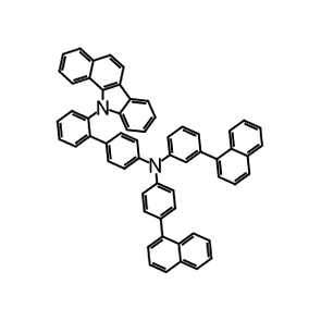 c1cc(-c2cccc3ccccc23)cc(N(c2ccc(-c3ccccc3-n3c4ccccc4c4ccc5ccccc5c43)cc2)c2ccc(-c3cccc4ccccc34)cc2)c1